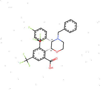 O=C(O)c1cc(C(F)(F)F)cc(C(F)(F)F)c1[C@H]1OCCN(Cc2ccccc2)[C@H]1c1ccc(F)cc1